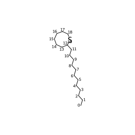 CCCCCCCCCCCCC1CCCCCCS1